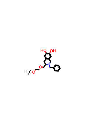 COCCOCC1Cc2cc(O)c(O)cc2CN1Cc1ccccc1